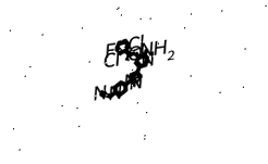 CC(Oc1cc(-c2cnn(C3CCN(CC#N)CC3)c2)cnc1N)c1c(Cl)ccc(F)c1Cl